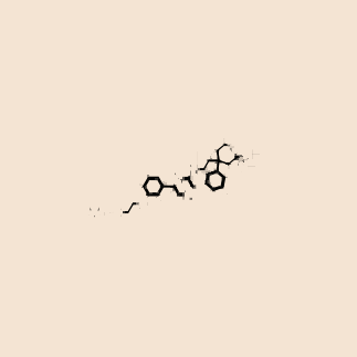 COCCOc1cccc(-c2cncc(NCCC3(c4ccccc4)CCOC(C)(C)C3)n2)c1